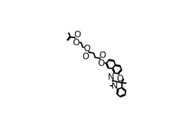 C=C(C)C(=O)OCCOC(=O)CCC(=O)Oc1ccc2ccc3c(c2c1)N=CC1(O3)N(C)c2ccccc2C1(C)C